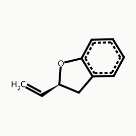 C=C[C@@H]1Cc2ccccc2O1